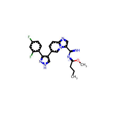 CCC/C(=N/C(=N)c1cnc2ccc(-c3c[nH]nc3-c3ccc(F)cc3F)cn12)OC